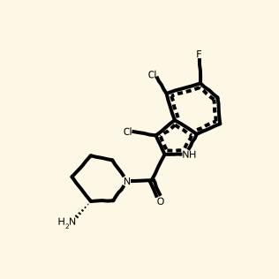 N[C@@H]1CCCN(C(=O)c2[nH]c3ccc(F)c(Cl)c3c2Cl)C1